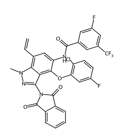 C=Cc1cc(NC(=O)c2cc(F)cc(C(F)(F)F)c2)c(Oc2cc(F)ccc2Cl)c2c(N3C(=O)c4ccccc4C3=O)nn(C)c12